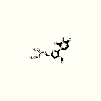 CO[SiH](C)OC[C@@H]1C[C@@H](C=O)C(n2ccc(=O)[nH]c2=O)O1